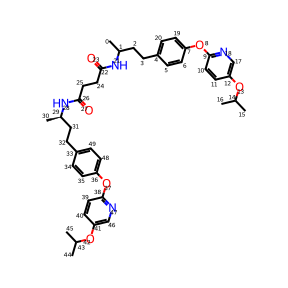 CC(CCc1ccc(Oc2ccc(OC(C)C)cn2)cc1)NC(=O)CCC(=O)N[C@H](C)CCc1ccc(Oc2ccc(OC(C)C)cn2)cc1